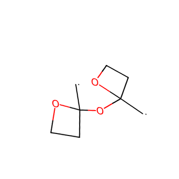 [CH2]C1(OC2([CH2])CCO2)CCO1